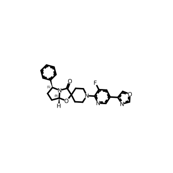 O=C1N2[C@@H](CC[C@H]2c2ccccc2)OC12CCN(c1ncc(-c3cocn3)cc1F)CC2